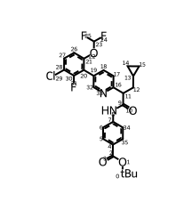 CC(C)(C)OC(=O)c1ccc(NC(=O)C(CC2CC2)c2ccc(-c3c(OC(F)F)ccc(Cl)c3F)cn2)cc1